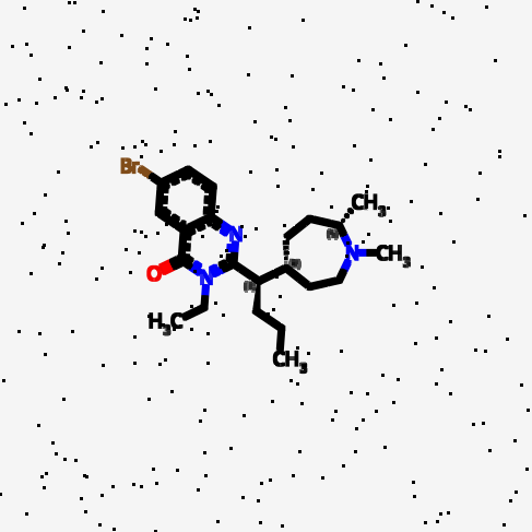 CCC[C@@H](c1nc2ccc(Br)cc2c(=O)n1CC)[C@@H]1CC[C@H](C)N(C)CC1